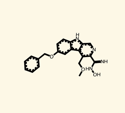 COCc1c(C(=N)NO)ncc2[nH]c3ccc(OCc4ccccc4)cc3c12